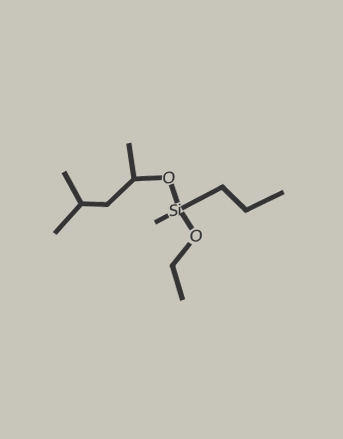 CCC[Si](C)(OCC)OC(C)CC(C)C